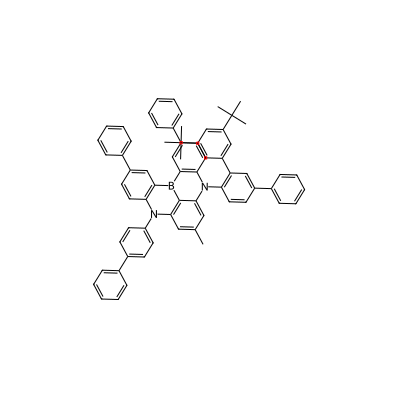 Cc1cc2c3c(c1)N(c1ccc(-c4ccccc4)cc1-c1cc(C(C)(C)C)cc(C(C)(C)C)c1)c1ccc(-c4ccccc4)cc1B3c1cc(-c3ccccc3)ccc1N2c1ccc(-c2ccccc2)cc1